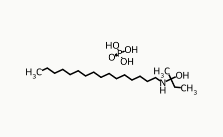 CCCCCCCCCCCCCCCCNC(C)(O)CC.O=P(O)(O)O